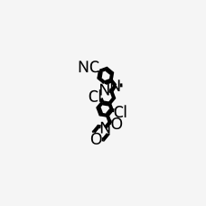 Cn1c(Cc2c(Cl)ccc(C(=O)N3CCOCC3)c2Cl)nc2cc(C#N)ccc21